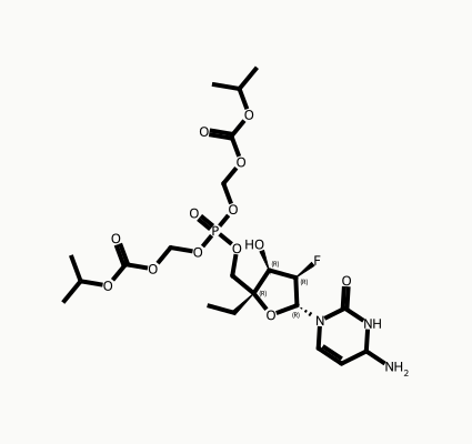 CC[C@]1(COP(=O)(OCOC(=O)OC(C)C)OCOC(=O)OC(C)C)O[C@@H](N2C=CC(N)NC2=O)[C@H](F)[C@@H]1O